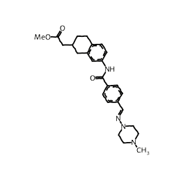 COC(=O)CC1CCc2ccc(NC(=O)c3ccc(C=NN4CCN(C)CC4)cc3)cc2C1